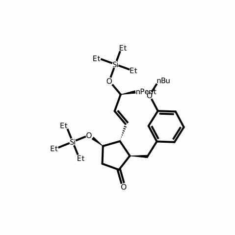 CCCCC[C@@H](/C=C/[C@H]1[C@H](O[Si](CC)(CC)CC)CC(=O)[C@@H]1Cc1cccc(OCCCC)c1)O[Si](CC)(CC)CC